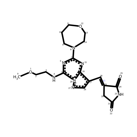 COCCNc1nc(N2CCCOCC2)nc2c(/C=C3\CC(=O)NC3=O)cnn12